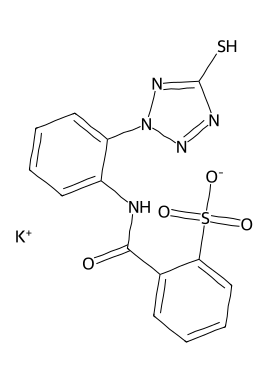 O=C(Nc1ccccc1-n1nnc(S)n1)c1ccccc1S(=O)(=O)[O-].[K+]